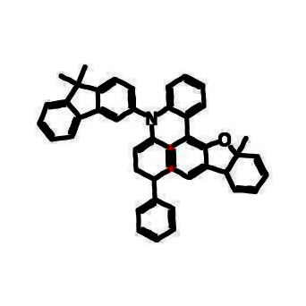 CC1(C)c2ccccc2-c2cc(N(C3=CCC(c4ccccc4)C=C3)c3ccccc3-c3cccc4c3OC3(C)C=CC=CC43)ccc21